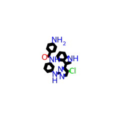 Nc1ccc(C(=O)Nc2cccc(Nc3ncc(Cl)c(-c4c[nH]c5ccccc45)n3)c2)cc1